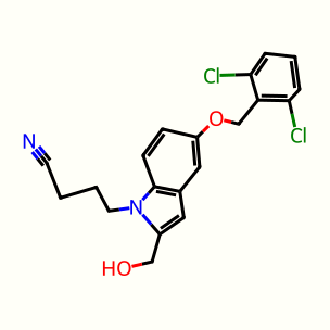 N#CCCCn1c(CO)cc2cc(OCc3c(Cl)cccc3Cl)ccc21